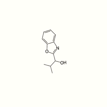 CC(C)C(O)c1nc2ccccc2o1